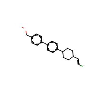 COCc1ccc(-c2ccc(C3CCC(/C=C/F)CC3)cc2)cc1